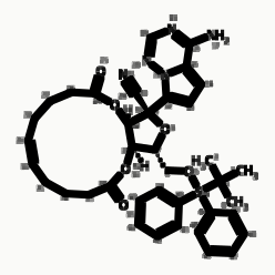 CC(C)(C)[Si](OC[C@H]1O[C@@](C#N)(c2ccc3c(N)ncnn23)[C@@H]2OC(=O)CCC/C=C\CCCC(=O)O[C@@H]21)(c1ccccc1)c1ccccc1